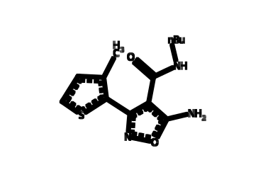 CCCCNC(=O)c1c(-c2sccc2C)noc1N